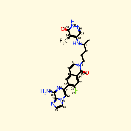 CC(CCCn1ccc2cc(-c3cn4ccnc4c(N)n3)c(F)cc2c1=O)Nc1cn[nH]c(=O)c1C(F)(F)F